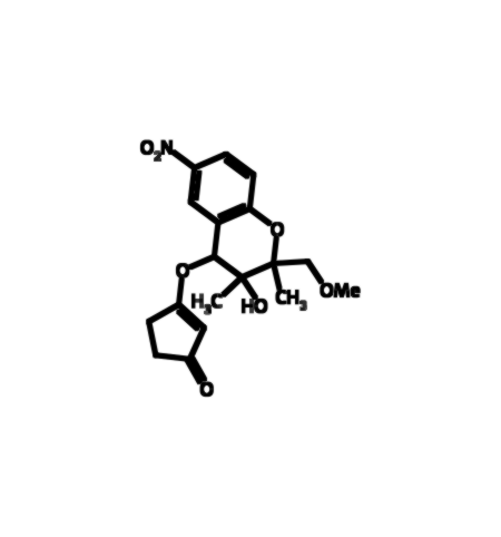 COCC1(C)Oc2ccc([N+](=O)[O-])cc2C(OC2=CC(=O)CC2)C1(C)O